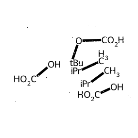 CC(C)(C)OC(=O)O.CC(C)C.CC(C)C.O=C(O)O.O=C(O)O